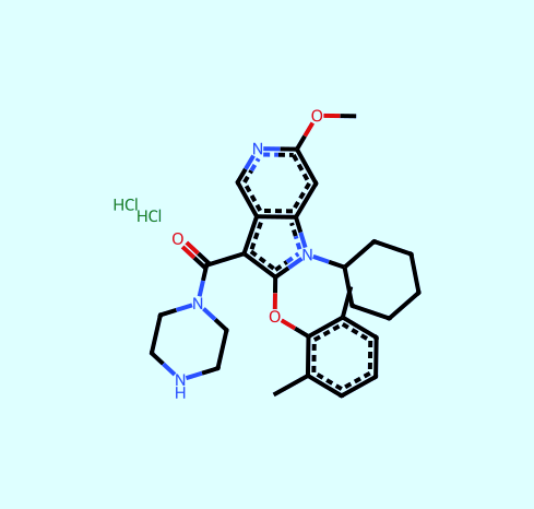 COc1cc2c(cn1)c(C(=O)N1CCNCC1)c(Oc1c(C)cccc1C)n2C1CCCCC1.Cl.Cl